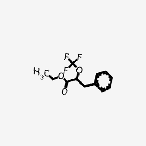 CCOC(=O)C(Cc1ccccc1)OC(F)(F)F